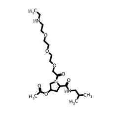 CCNCCOCCOCCOCC(=O)N1CC(OC(C)=O)CC1C(=O)NCC(C)C